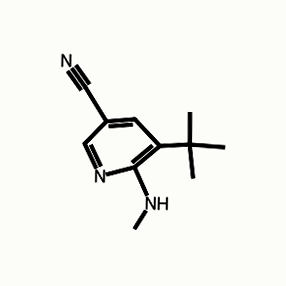 CNc1ncc(C#N)cc1C(C)(C)C